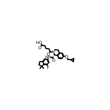 CC1(C)CCc2cc(NC(=O)[C@H]3c4ccc(OCC5CC5)cc4CCN3C(=O)CCCC(=O)O)cc(F)c21